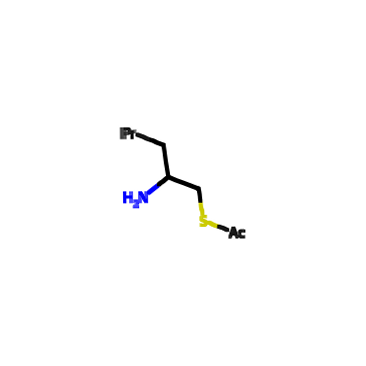 CC(=O)SCC(N)CC(C)C